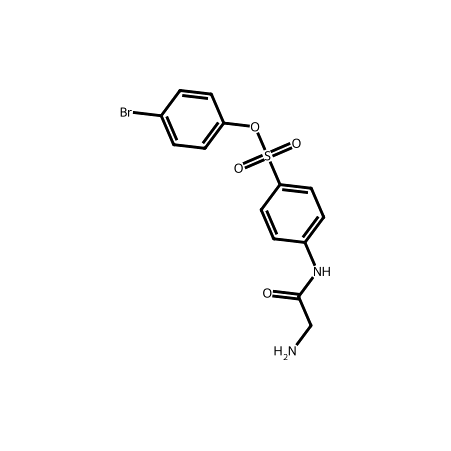 NCC(=O)Nc1ccc(S(=O)(=O)Oc2ccc(Br)cc2)cc1